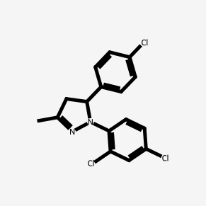 CC1=NN(c2ccc(Cl)cc2Cl)C(c2ccc(Cl)cc2)C1